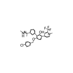 CN/N=C(\C)c1cccc(-c2c(OCc3ccc(Cl)cc3)ccc(C3=C=CN(C)C(C(F)(F)F)=C3)c2O)c1